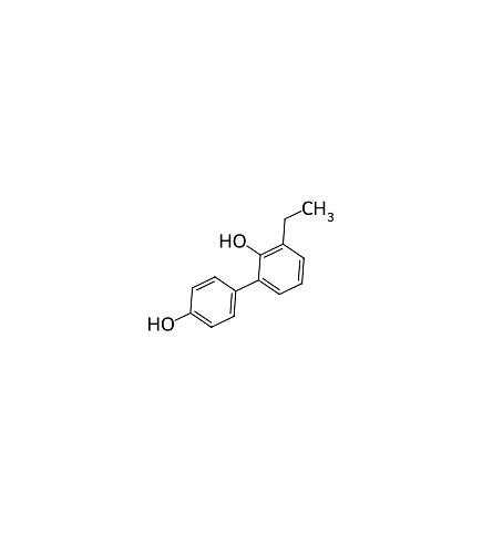 CCc1cccc(-c2ccc(O)cc2)c1O